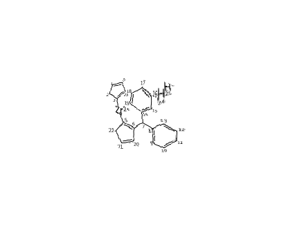 C1=CC[C]([Zr+2][C]2=C(C(c3ccccc3)c3ccccc3)C=CC2)=C1.[H-].[H-]